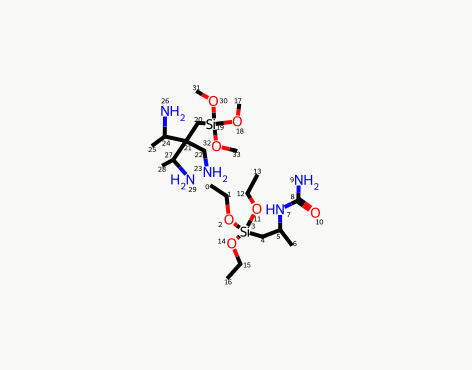 CCO[Si](CC(C)NC(N)=O)(OCC)OCC.CO[Si](CC(CN)(C(C)N)C(C)N)(OC)OC